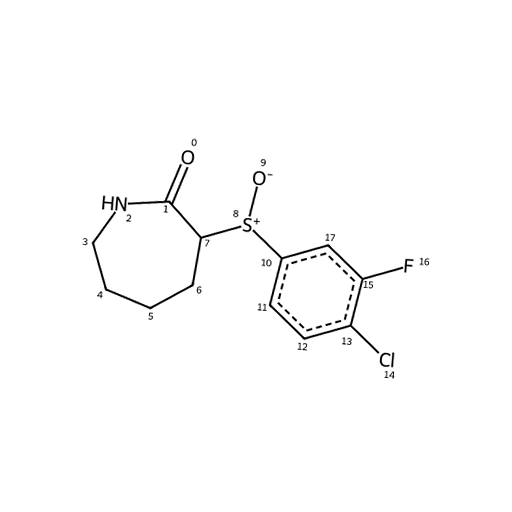 O=C1NCCCCC1[S+]([O-])c1ccc(Cl)c(F)c1